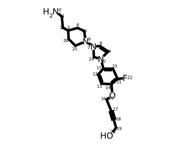 NCCC1CCN(N2C=CN(c3ccc(OCC#CCO)c(F)c3)C2)CC1